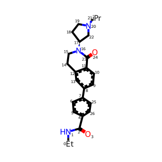 CCNC(=O)c1ccc(-c2ccc3c(c2)CCN([C@@H]2CCN(C(C)C)C2)C3=O)cc1